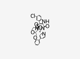 NC(=O)c1[nH]c2ccc(Cl)cc2c1S(=O)(=O)N1CCOC(COc2ccccc2-c2ccncc2)C1